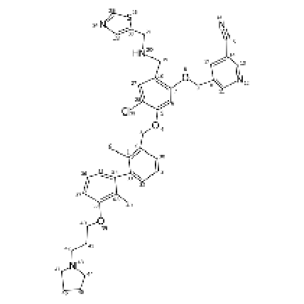 Cc1c(COc2cc(OCc3cncc(C#N)c3)c(CNCc3cncs3)cc2Cl)cccc1-c1cccc(OCCCN2CCCC2)c1C